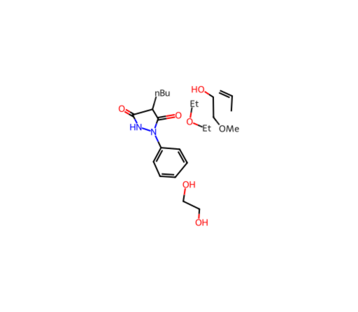 C=CC.CCCCC1C(=O)NN(c2ccccc2)C1=O.CCOCC.COCCO.OCCO